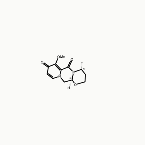 COc1c2n(ccc1=O)C[C@@H]1OCC[C@@H](C)N1C2=O